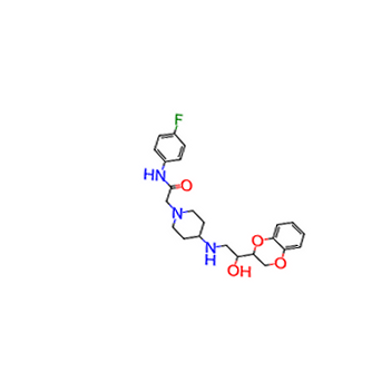 O=C(CN1CCC(NCC(O)C2COc3ccccc3O2)CC1)Nc1ccc(F)cc1